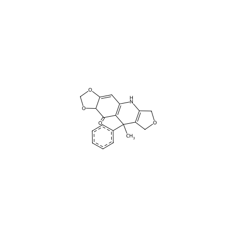 CC1(c2ccccc2)C2=C(COC2)NC2=C1C(=O)C1OCOC1=C2